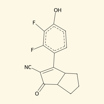 N#CC1=C(c2ccc(O)c(F)c2F)C2CCCC2C1=O